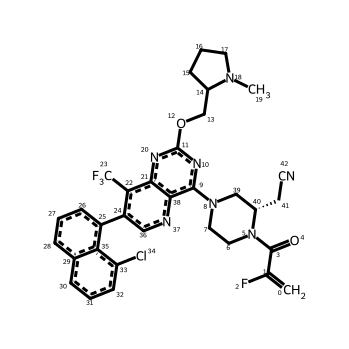 C=C(F)C(=O)N1CCN(c2nc(OCC3CCCN3C)nc3c(C(F)(F)F)c(-c4cccc5cccc(Cl)c45)cnc23)C[C@@H]1CC#N